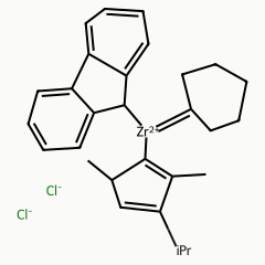 CC1=[C]([Zr+2](=[C]2CCCCC2)[CH]2c3ccccc3-c3ccccc32)C(C)C=C1C(C)C.[Cl-].[Cl-]